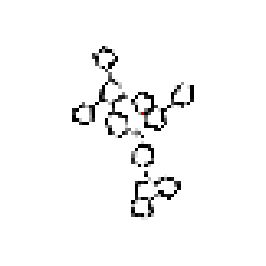 c1ccc(-c2ccc(N(c3ccc(-c4cc5ccccc5c5ccccc45)cc3)c3cccc(-c4c(-c5ccccc5)cc(-c5ccccc5)cc4-c4ccccc4)c3)cc2)cc1